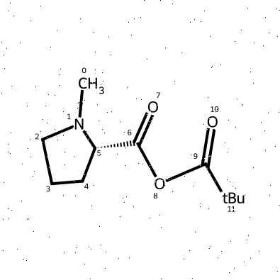 CN1CCC[C@H]1C(=O)OC(=O)C(C)(C)C